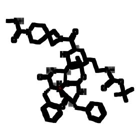 CNC(=O)N1CCC2(CC1)CN(C(=O)[C@@H](CCCCNC(=O)OC(C)(C)C)NC(=O)[C@@H](CC(C)C)NC(=O)[C@@H](Cc1ccccc1)NC(=O)[C@@H](Cc1ccccc1)NC(=O)OC(C)(C)C)C2